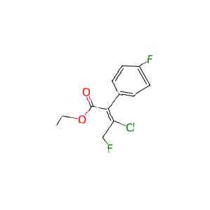 CCOC(=O)C(=C(Cl)CF)c1ccc(F)cc1